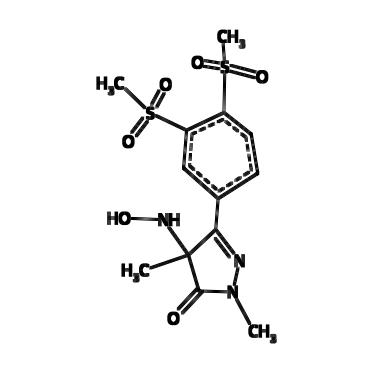 CN1N=C(c2ccc(S(C)(=O)=O)c(S(C)(=O)=O)c2)C(C)(NO)C1=O